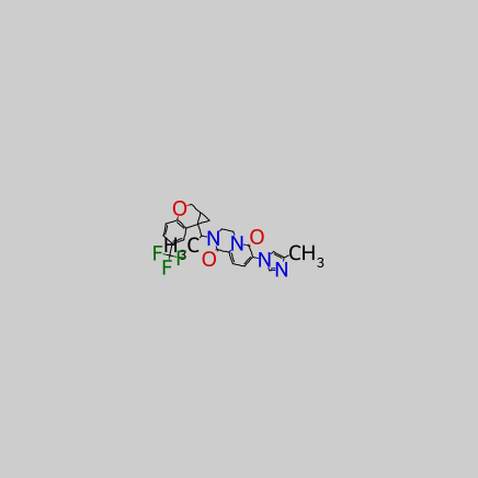 Cc1cn(-c2ccc3n(c2=O)CCN(C(C)C24CC2COc2ccc(C(F)(F)F)cc24)C3=O)cn1